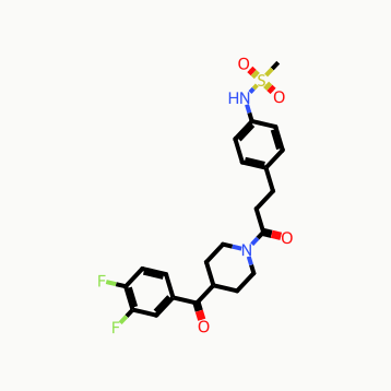 CS(=O)(=O)Nc1ccc(CCC(=O)N2CCC(C(=O)c3ccc(F)c(F)c3)CC2)cc1